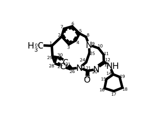 CC1c2ccc(cc2)CN2CC/C(NC3CCCCC3)=N\C(=O)N(CC2)c2ccc1cc2